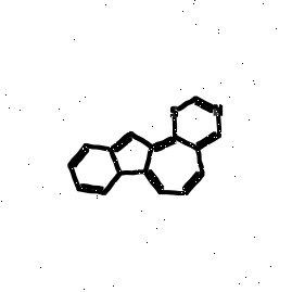 C1=CC2=CN=CSC2=C2C=C3C=CC=CC3C2=C1